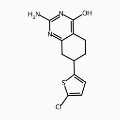 Nc1nc(O)c2c(n1)CC(c1ccc(Cl)s1)CC2